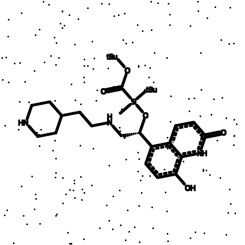 CC(C)(C)OC(=O)[Si](C)(O[C@@H](CNCCC1CCNCC1)c1ccc(O)c2[nH]c(=O)ccc12)C(C)(C)C